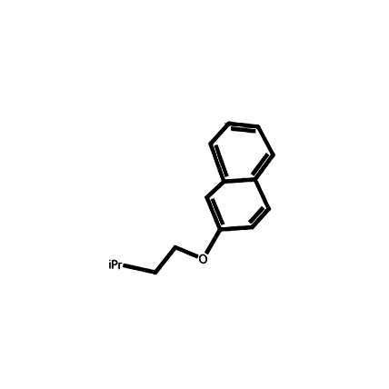 CC(C)CCOc1ccc2cc[c]cc2c1